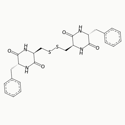 O=C1N[C@H](Cc2ccccc2)C(=O)N[C@H]1CSSC[C@@H]1NC(=O)[C@@H](Cc2ccccc2)NC1=O